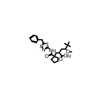 COC(CC(CC1(C(=O)Nc2nnc(Cc3ccccc3)s2)CCCC1)C(=O)O)C(C)(C)C